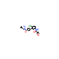 O=C(NCC1CC1)c1ccc(-c2cc(NC(=O)c3ccoc3)ccc2Cl)cc1